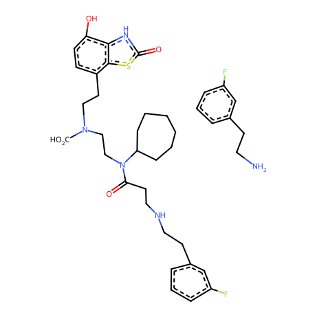 NCCc1cccc(F)c1.O=C(O)N(CCc1ccc(O)c2[nH]c(=O)sc12)CCN(C(=O)CCNCCc1cccc(F)c1)C1CCCCCC1